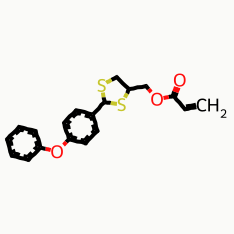 C=CC(=O)OCC1CSC(c2ccc(Oc3ccccc3)cc2)S1